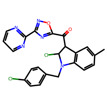 Cc1ccc2c(c1)C(C(=O)c1nc(-c3ncccn3)no1)C(Cl)N2Cc1ccc(Cl)cc1